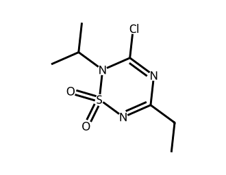 CCC1=NS(=O)(=O)N(C(C)C)C(Cl)=N1